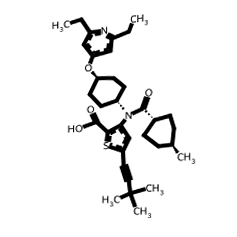 CCc1cc(O[C@H]2CC[C@H](N(c3cc(C#CC(C)(C)C)sc3C(=O)O)C(=O)[C@H]3CC[C@H](C)CC3)CC2)cc(CC)n1